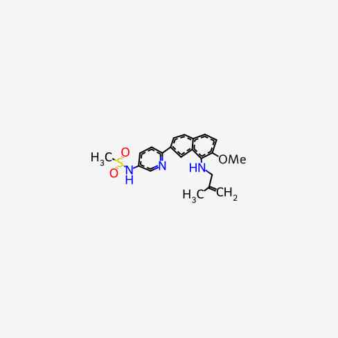 C=C(C)CNc1c(OC)ccc2ccc(-c3ccc(NS(C)(=O)=O)cn3)cc12